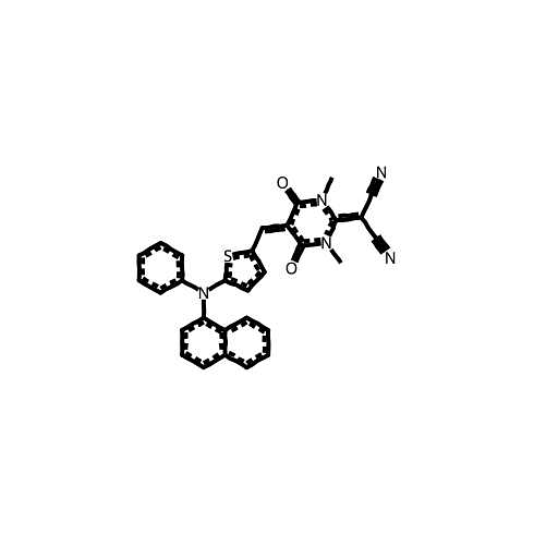 Cn1c(=O)c(=Cc2ccc(N(c3ccccc3)c3cccc4ccccc34)s2)c(=O)n(C)c1=C(C#N)C#N